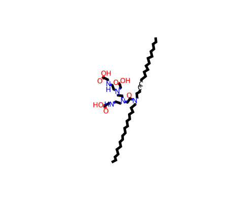 CCCCCCCCCCCCCCCCCCN(CCCCCCCCCCCCCCCCCC)C(=O)CN(CCNCC(=O)O)CCN(CCNCC(=O)O)CC(=O)O